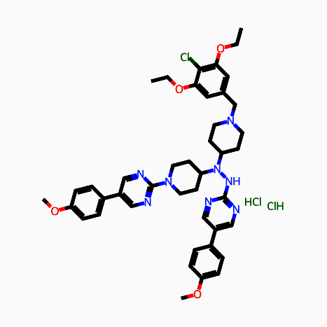 CCOc1cc(CN2CCC(N(Nc3ncc(-c4ccc(OC)cc4)cn3)C3CCN(c4ncc(-c5ccc(OC)cc5)cn4)CC3)CC2)cc(OCC)c1Cl.Cl.Cl